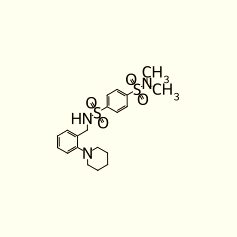 CN(C)S(=O)(=O)c1ccc(S(=O)(=O)NCc2ccccc2N2CCCCC2)cc1